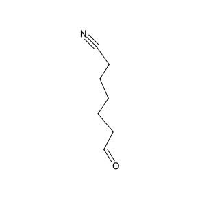 N#CCCCCCC=O